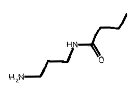 CCCC(=O)NCCCN